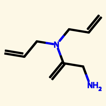 C=CCN(CC=C)C(=C)CN